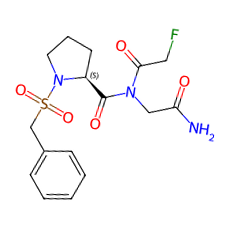 NC(=O)CN(C(=O)CF)C(=O)[C@@H]1CCCN1S(=O)(=O)Cc1ccccc1